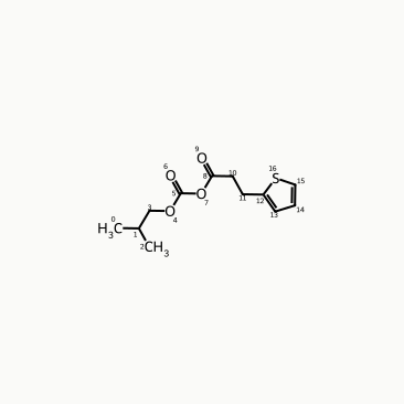 CC(C)COC(=O)OC(=O)CCc1cccs1